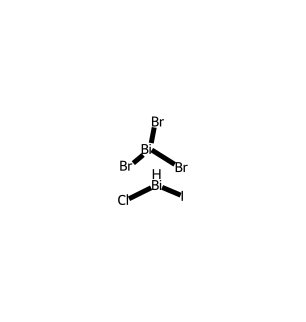 [Br][Bi]([Br])[Br].[Cl][BiH][I]